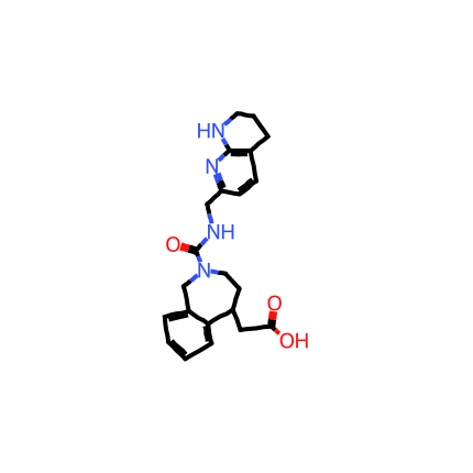 O=C(O)CC1CCN(C(=O)NCc2ccc3c(n2)NCCC3)Cc2ccccc21